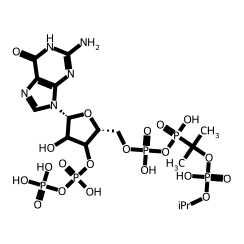 CC(C)OP(=O)(O)OC(C)(C)P(=O)(O)OP(=O)(O)OC[C@H]1O[C@@H](n2cnc3c(=O)[nH]c(N)nc32)C(O)C1OP(=O)(O)OP(=O)(O)O